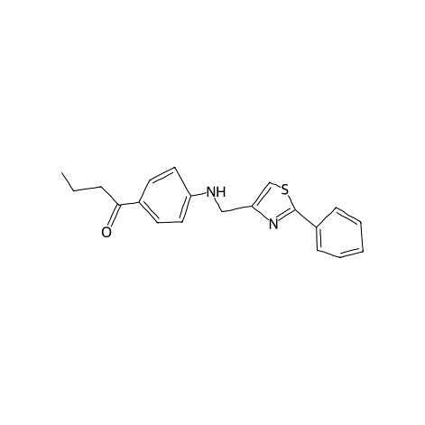 CCCC(=O)c1ccc(NCc2csc(-c3ccccc3)n2)cc1